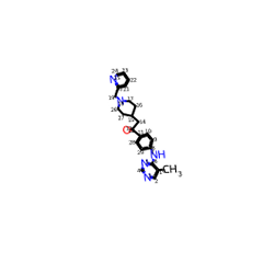 Cc1cncnc1Nc1ccc(C(=O)CC2CCN(Cc3ccccn3)CC2)cc1